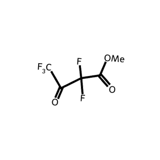 COC(=O)C(F)(F)C(=O)C(F)(F)F